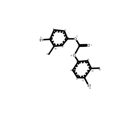 CCc1ccc(OC(=O)Oc2ccc(CC)c(C)c2)cc1C